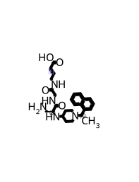 C[C@H](c1cccc2ccccc12)N1CCC(N[C@@H](CN)C(=O)NCC(=O)NC/C=C/C(=O)O)CC1